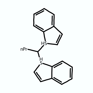 C[CH]CC([SH]1C=Cc2ccccc21)[SH]1C=Cc2ccccc21